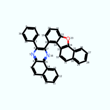 c1ccc(-c2nc3ccc4ccccc4c3nc2-c2cccc3oc4c5ccccc5ccc4c23)cc1